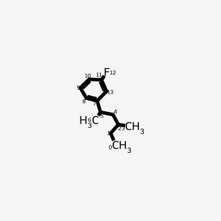 CCC(C)CC(C)c1cccc(F)c1